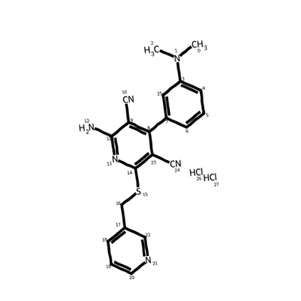 CN(C)c1cccc(-c2c(C#N)c(N)nc(SCc3cccnc3)c2C#N)c1.Cl.Cl